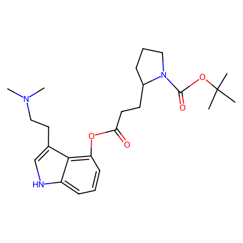 CN(C)CCc1c[nH]c2cccc(OC(=O)CCC3CCCN3C(=O)OC(C)(C)C)c12